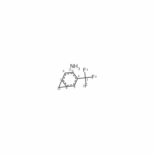 FC(F)(F)c1ccc2c(c1)C2.N